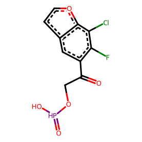 O=C(CO[PH](=O)O)c1cc2ccoc2c(Cl)c1F